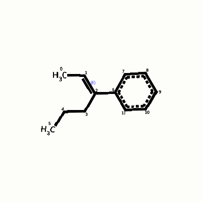 C/C=C(\CCC)c1ccccc1